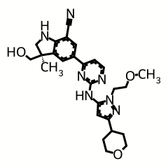 COCCn1nc(C2CCOCC2)cc1Nc1nccc(-c2cc(C#N)c3c(c2)[C@@](C)(CO)CN3)n1